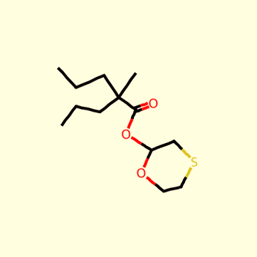 CCCC(C)(CCC)C(=O)OC1CSCCO1